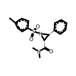 Cc1ccc(S(=O)(=O)N2[C@H](c3ccccc3)[C@@H]2C(=O)N(C)C)cc1